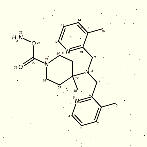 Cc1cccnc1CN(Cc1ncccc1C)C1(C)CCN(C(=O)ON)CC1